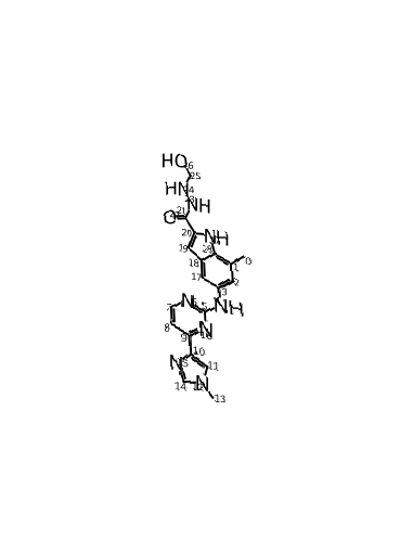 Cc1cc(Nc2nccc(-c3cn(C)cn3)n2)cc2cc(C(=O)NNCO)[nH]c12